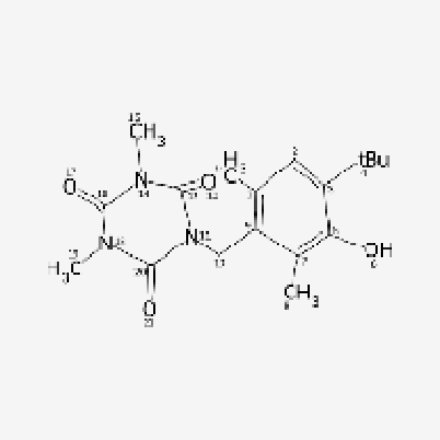 Cc1cc(C(C)(C)C)c(O)c(C)c1Cn1c(=O)n(C)c(=O)n(C)c1=O